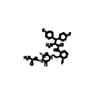 C[C@@H]1O[C@H](CCc2c(F)cccc2NC(=O)C(N)C(c2ccc(F)cc2)c2ccc(F)cc2)CN[C@@H]1COC(N)=O